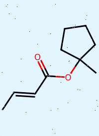 C/C=C/C(=O)OC1(C)CCCC1